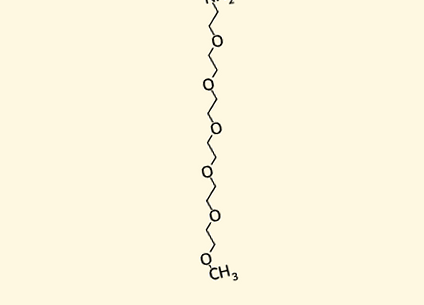 COCCOCCOCCOCCOCCOCCN